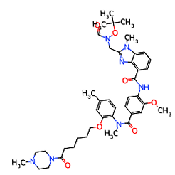 COc1cc(C(=O)N(C)c2ccc(C)cc2OCCCCCC(=O)N2CCN(C)CC2)ccc1NC(=O)c1cccc2c1nc(CN(C=O)OC(C)(C)C)n2C